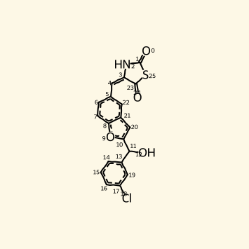 O=C1NC(=Cc2ccc3oc(C(O)c4cccc(Cl)c4)cc3c2)C(=O)S1